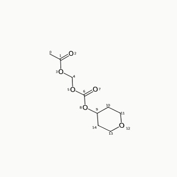 CC(=O)OCOC(=O)OC1CCOCC1